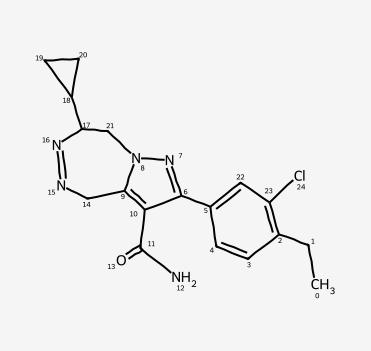 CCc1ccc(-c2nn3c(c2C(N)=O)CN=NC(C2CC2)C3)cc1Cl